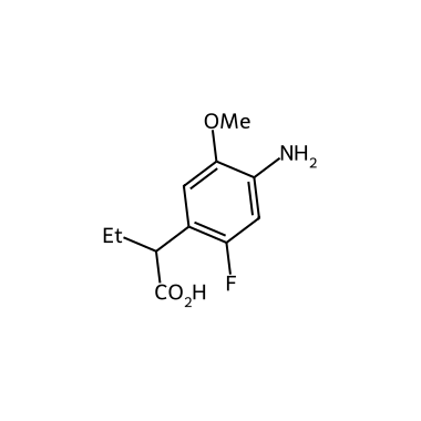 CCC(C(=O)O)c1cc(OC)c(N)cc1F